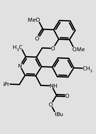 COC(=O)c1cccc(OC)c1OCc1c(C)nc(CC(C)C)c(CNC(=O)OC(C)(C)C)c1-c1ccc(C)cc1